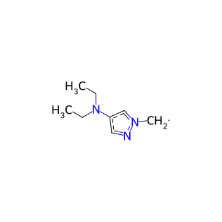 [CH2]n1cc(N(CC)CC)cn1